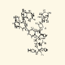 CC(C)n1cnc2cc(-c3ccc4c(c3)N([C@H]3C[C@@H](N5CC6CCC(C6)C5)C3)C(=O)C43CCN(C(=O)C(C)(C)CO)CC3)nc(Nc3ccncc3F)c21